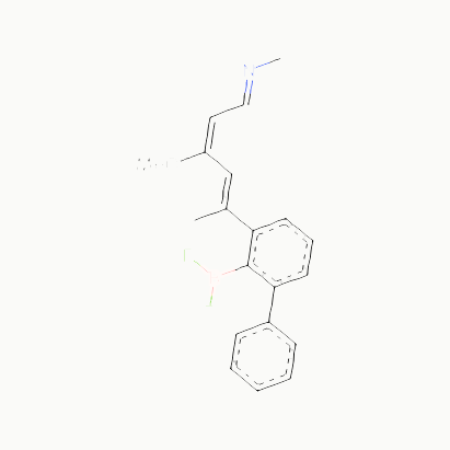 C/N=C/C=C(\C=C(/C)c1cccc(-c2ccccc2)c1B(F)F)OC